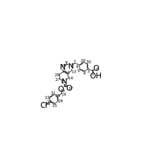 O=C(O)c1ccc(CN2C=NC3=C(C2)CN(C(=O)OCc2ccc(Cl)cc2)CC3)cc1